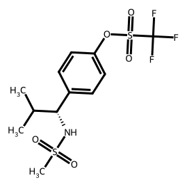 CC(C)[C@@H](NS(C)(=O)=O)c1ccc(OS(=O)(=O)C(F)(F)F)cc1